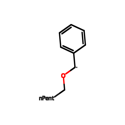 CCCCCCO[CH]c1ccccc1